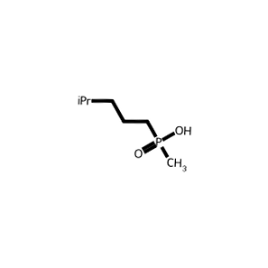 CC(C)CCCP(C)(=O)O